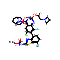 C[C@@H](CN1CCC1)Oc1nc(N2CC3CCC(C2)N3C(=O)OC(C)(C)C)c2cc(Cl)c(-c3ccc(F)c4sc(NC(=O)OC(C)(C)C)nc34)c(F)c2n1